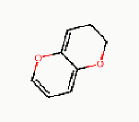 C1=COC2=CCCOC2=C1